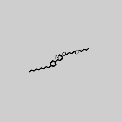 CCCCCCCCCc1ccc(-c2ccc(OCCCCOCCCCC)cn2)cc1